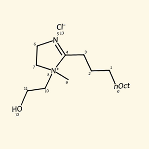 CCCCCCCCCCCC1=NCC[N+]1(C)CCO.[Cl-]